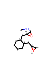 C1CCC(CC2CO2)C(CC2CO2)C1.CN